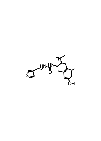 Cc1cc(O)cc(C)c1CC(CNC(=O)NCCc1ccsc1)N(C)C